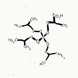 CC(O[O][Ti]([O]OC(C)C(=O)O)([O]OC(C)C(=O)O)[O]OC(C)C(=O)O)C(=O)O